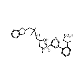 C[C@H](CC(=O)O)c1ccccc1-c1cncc(S(=O)(=O)N(C)CC(O)CNC(C)(C)CC2Cc3ccccc3C2)c1